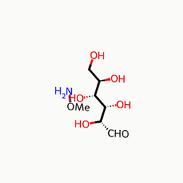 CON.O=C[C@H](O)[C@@H](O)[C@H](O)[C@H](O)CO